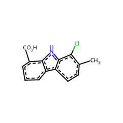 Cc1ccc2c([nH]c3c(C(=O)O)cccc32)c1Cl